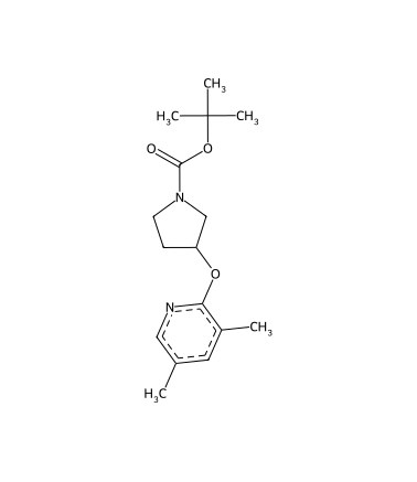 Cc1cnc(OC2CCN(C(=O)OC(C)(C)C)C2)c(C)c1